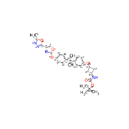 Cc1nnc(-c2coc(Oc3ccc(C(C)(C)c4ccc(OC5CC(NC(=O)OC(C)(C)C)C5)cc4)cc3)n2)o1